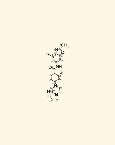 Cc1nc2c(F)cc(NC(=O)c3ccc(N4CCN5CCC[C@@H]5C4)cc3F)cc2o1